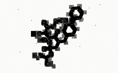 CCOC(=O)OOC(=O)C(C)NC(=O)C(Cc1ccc(-c2ccccc2)cc1)CP(=O)(OO)OC(C)N